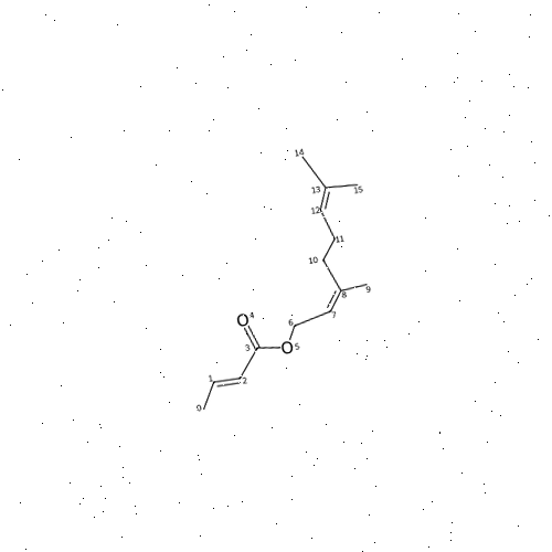 C/C=C/C(=O)OC/C=C(/C)CCC=C(C)C